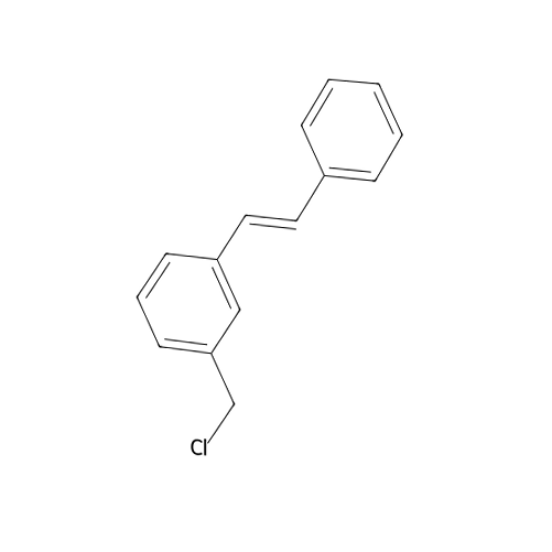 ClCc1cccc(C=Cc2ccccc2)c1